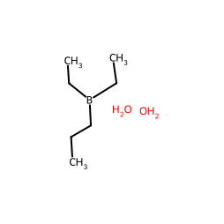 CCCB(CC)CC.O.O